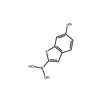 CCCc1ccc2cc(B(O)O)sc2c1